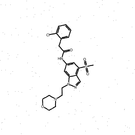 CS(=O)(=O)c1cc(NC(=O)Cc2ccccc2Cl)cc2c1cnn2CCN1CCOCC1